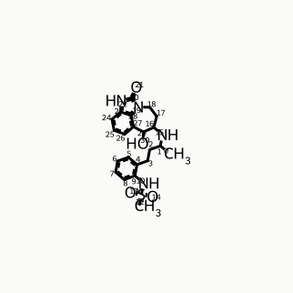 CC(CCc1ccccc1NS(C)(=O)=O)NC1CCn2c(=O)[nH]c3cccc(c32)C1O